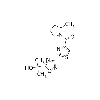 CC1CCCN1C(=O)c1csc(-c2noc(C(C)(C)O)n2)n1